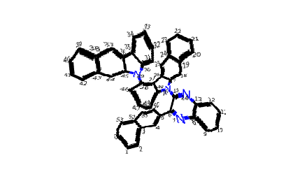 c1ccc2cc(-c3nc4ccccc4nc3-n3c4cc5ccccc5cc4c4c(-n5c6ccccc6c6cc7ccccc7cc65)cccc43)ccc2c1